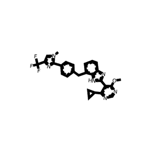 COc1ncnc(C2CC2)c1-c1nc2cccc(Cc3ccc(-c4nc(C(F)(F)F)cn4C)cc3)c2[nH]1